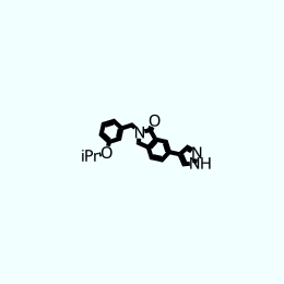 CC(C)Oc1cccc(CN2Cc3ccc(-c4cn[nH]c4)cc3C2=O)c1